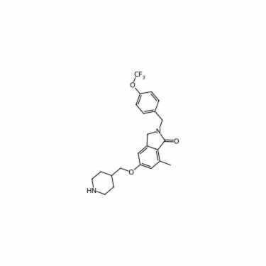 Cc1cc(OCC2CCNCC2)cc2c1C(=O)N(Cc1ccc(OC(F)(F)F)cc1)C2